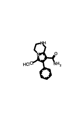 Cl.NC(=O)c1c(-c2ccccc2)c(Cl)n2c1CNCC2